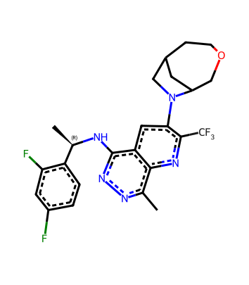 Cc1nnc(N[C@H](C)c2ccc(F)cc2F)c2cc(N3CC4CCOCC3C4)c(C(F)(F)F)nc12